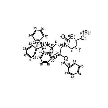 CCC(=O)N(C[C@@H](C)COC(C)(C)C)[C@@H](CC(=O)NC(c1ccccc1)(c1ccccc1)c1ccccc1)C(=O)OCc1ccccc1